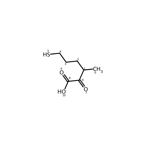 CC(CCCS)C(=O)C(=O)O